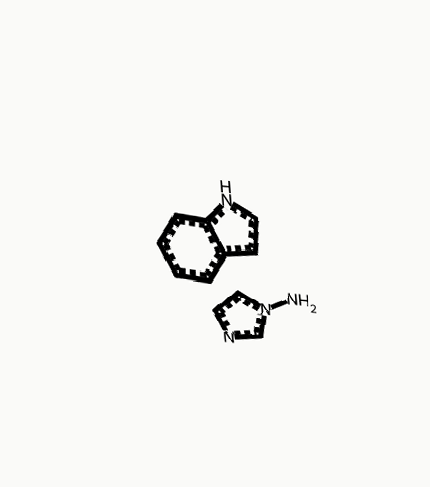 Nn1ccnc1.c1ccc2[nH]ccc2c1